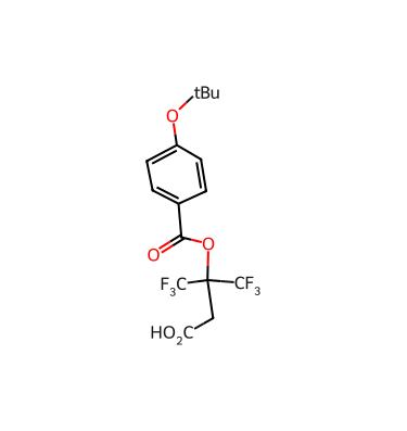 CC(C)(C)Oc1ccc(C(=O)OC(CC(=O)O)(C(F)(F)F)C(F)(F)F)cc1